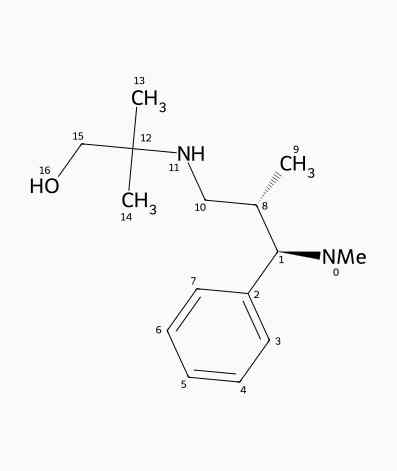 CN[C@@H](c1ccccc1)[C@@H](C)CNC(C)(C)CO